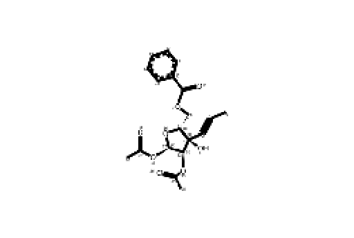 CC#C[C@@]1(O)[C@@H](COC(=O)c2ccccc2)O[C@H](OC(C)=O)[C@@H]1OC(C)=O